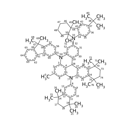 Cc1cc2c3c(c1)N(c1ccc4c(c1)C(C)(C)CCC4(C)C)c1cc4c(cc1C3c1ccc(N3c5ccc(C(C)(C)C)cc5C5(C)CCCCC35C)cc1N2c1ccc2c(c1)-c1ccccc1C2(C)C)C(C)(C)CCC4(C)C